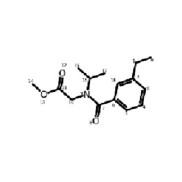 CCc1cccc(C(=O)N(CC(=O)OC)C(C)C)c1